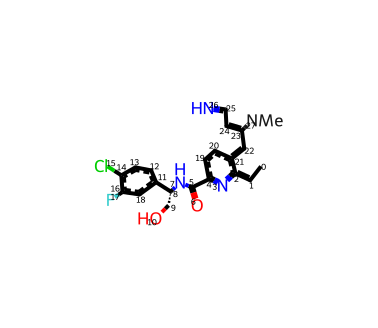 C/C=c1/nc(C(=O)N[C@H](CO)c2ccc(Cl)c(F)c2)ccc1=CC(=CC=N)NC